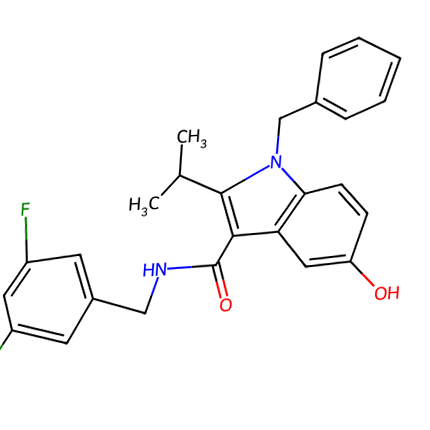 CC(C)c1c(C(=O)NCc2cc(F)cc(F)c2)c2cc(O)ccc2n1Cc1ccccc1